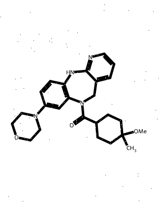 COC1(C)CCC(C(=O)N2Cc3cccnc3Nc3ccc(N4CCOCC4)cc32)CC1